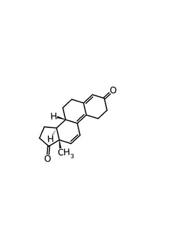 C[C@]12C=CC3=C4CCC(=O)C=C4CC[C@H]3[C@@H]1CCC2=O